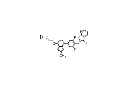 Cn1cc2c(-c3cc(F)c(CN4Cc5ncccc5C4=O)c(F)c3)ccc(OCCOC3CC3)c2n1